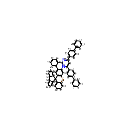 c1ccc(-c2ccc(-c3cc(-c4ccc(-c5ccccc5)cc4)nc(-c4ccccc4-c4ccc5c(c4)C4(c6ccccc6S5)c5ccccc5-c5ccccc54)n3)cc2)cc1